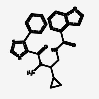 CN(C(=O)c1ncsc1-c1ccccc1)C(CNC(=O)c1cccc2occc12)C1CC1